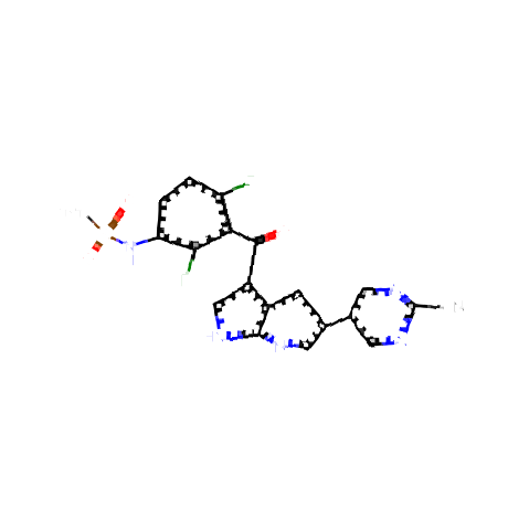 CCCS(=O)(=O)Nc1ccc(F)c(C(=O)c2c[nH]c3ncc(-c4cnc(C#N)nc4)cc23)c1F